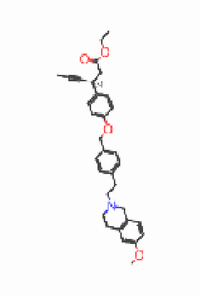 CC#C[C@@H](CC(=O)OCC)c1ccc(OCc2ccc(CCN3CCc4cc(OC)ccc4C3)cc2)cc1